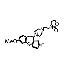 COc1ccc2c(c1)Sc1ccc(F)cc1C(N1CCN(CCN3CCOC3=O)CC1)C2